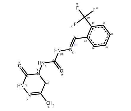 CC1=NNC(=O)N(NC(=O)N/N=C/c2ccccc2C(F)(F)F)C1